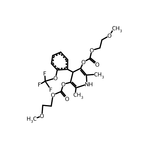 COCCOC(=O)OC1=C(C)NC(C)=C(OC(=O)OCCOC)C1c1ccccc1OC(F)(F)F